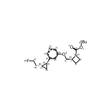 CC(C)(C)OC(=O)N1CC[C@H]1COc1cncc([C@H]2C[C@@H]2CCF)c1